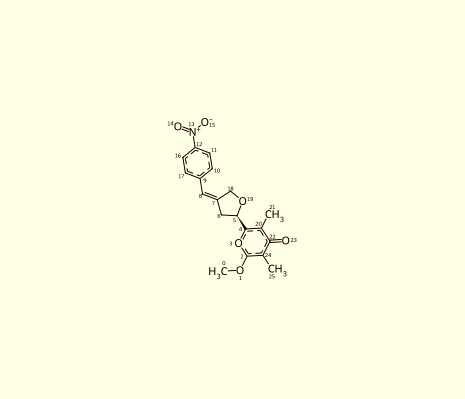 COc1oc([C@H]2C/C(=C/c3ccc([N+](=O)[O-])cc3)CO2)c(C)c(=O)c1C